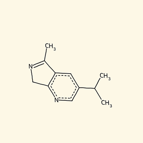 CC1=NCc2ncc(C(C)C)cc21